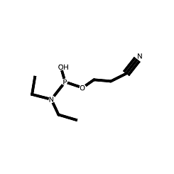 CCN(CC)P(O)OCCC#N